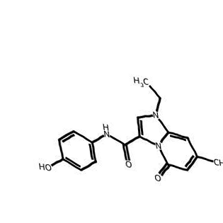 CCn1cc(C(=O)Nc2ccc(O)cc2)n2c(=O)cc(C)cc12